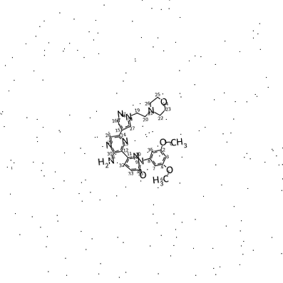 COc1cc(OC)cc(-n2nc(-c3nc(-c4cnn(CCN5CCOCC5)c4)cnc3N)ccc2=O)c1